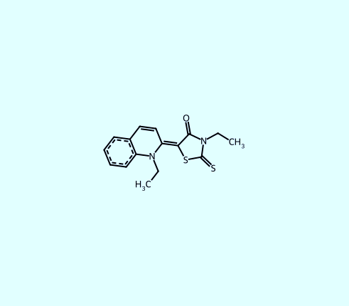 CCN1C(=O)C(=C2C=Cc3ccccc3N2CC)SC1=S